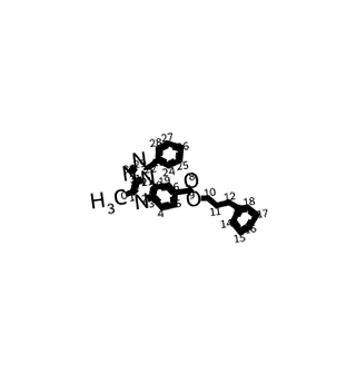 Cc1nc2ccc(C(=O)OCCCc3ccccc3)cc2n2c(-c3ccccc3)nnc12